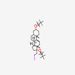 CC(C)(C)[Si](C)(C)OC1CC[C@]2(C)C3=CC[C@@]4(C)[C@@H](CCC4(CCI)O[Si](C)(C)C(C)(C)C)[C@@H]3CCC2C1